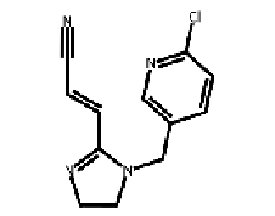 N#C/C=C/C1=NCCN1Cc1ccc(Cl)nc1